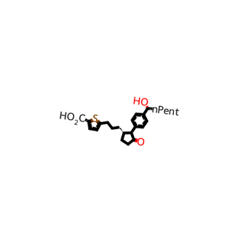 CCCCCC(O)c1ccc(C2C(=O)CC[C@@H]2CCCc2ccc(C(=O)O)s2)cc1